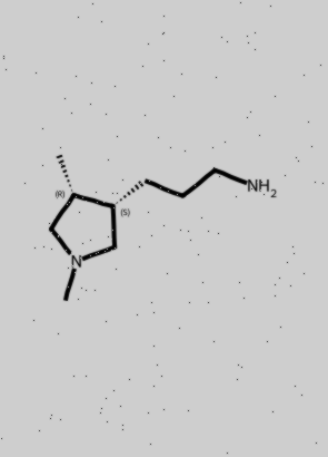 C[C@H]1CN(C)C[C@H]1CCCN